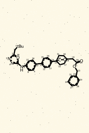 CC(C)(C)Cc1nnc(Nc2ccc(-c3ccc(C45CCC(CC(=O)OCc6ccccc6)(CC4)OC5)cc3)cc2)o1